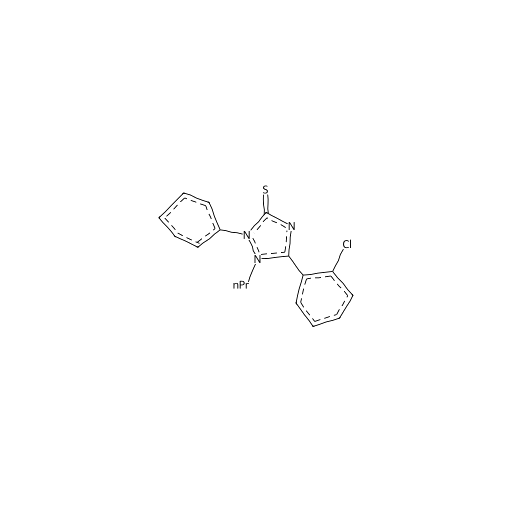 CCCn1c(-c2ccccc2Cl)nc(=S)n1-c1ccccc1